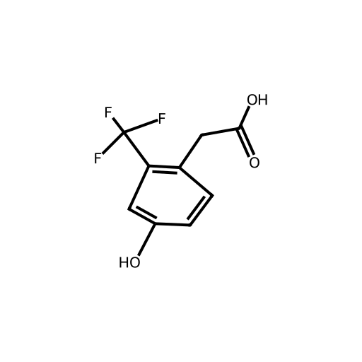 O=C(O)Cc1ccc(O)cc1C(F)(F)F